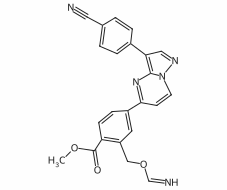 COC(=O)c1ccc(-c2ccn3ncc(-c4ccc(C#N)cc4)c3n2)cc1COC=N